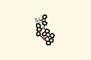 CC1(C)c2ccccc2-c2ccc(N(c3cccc4ccccc34)c3ccc4c5c(cccc35)C3(c5cc(-c6ccccc6)ccc5-c5cccc6cccc3c56)c3ccccc3-4)cc21